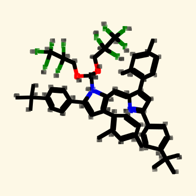 Cc1ccc(C2=CC(c3ccc(C(C)(C)C)cc3)=N/C2=C\c2c(-c3ccc(C)cc3C)cc(-c3ccc(C(C)(C)C)cc3)n2B(OCC(F)(F)C(F)(F)F)OCC(F)(F)C(F)(F)F)c(C)c1